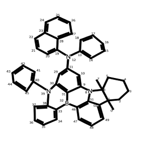 CC12CCCCC1(C)N1c3cc(N(c4ccccc4)c4cccc5ccccc45)cc4c3B(c3ccccc3N4c3ccccc3)c3cccc2c31